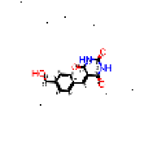 O=C1NC(=O)C(=Cc2ccc(CO)cc2)C(=O)N1